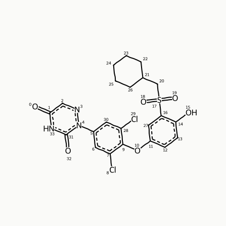 O=c1cnn(-c2cc(Cl)c(Oc3ccc(O)c(S(=O)(=O)CC4CCCCC4)c3)c(Cl)c2)c(=O)[nH]1